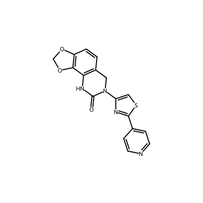 O=C1Nc2c(ccc3c2OCO3)CN1c1csc(-c2ccncc2)n1